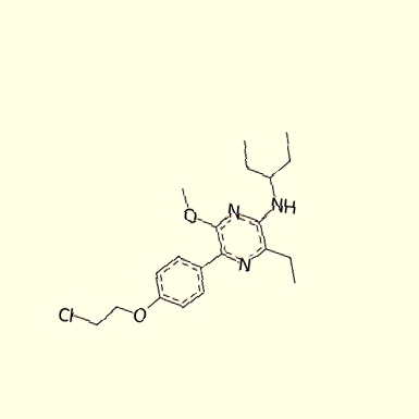 CCc1nc(-c2ccc(OCCCl)cc2)c(OC)nc1NC(CC)CC